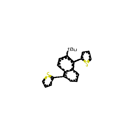 CC(C)(C)c1ccc2c(-c3cccs3)cccc2c1-c1cccs1